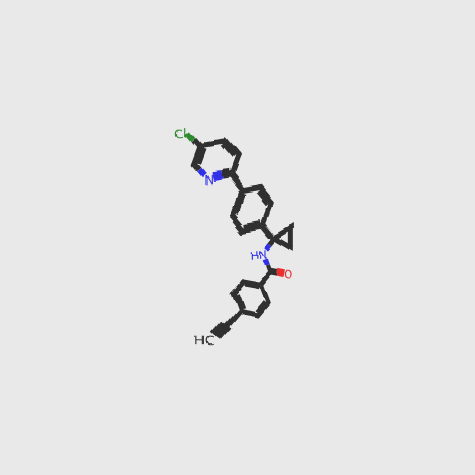 C#Cc1ccc(C(=O)NC2(c3ccc(-c4ccc(Cl)cn4)cc3)CC2)cc1